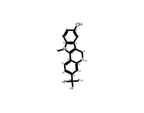 Cn1c2c(c3cc(O)ccc31)CSc1cc(C(F)(F)F)ccc1-2